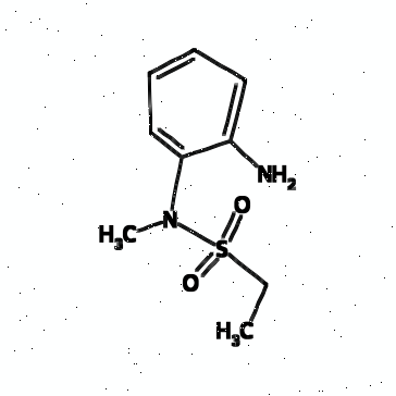 CCS(=O)(=O)N(C)c1ccccc1N